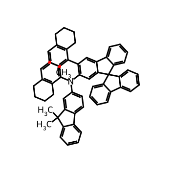 Cc1ccc2c(c1-c1cc3c(cc1N(c1ccc4c(c1)C(C)(C)c1ccccc1-4)c1cccc4c1CCCC4)C1(c4ccccc4-c4ccccc41)c1ccccc1-3)CCCC2